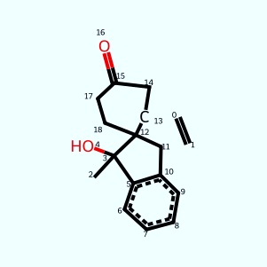 C=C.CC1(O)c2ccccc2CC12CCC(=O)CC2